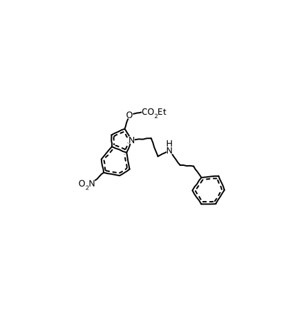 CCOC(=O)Oc1cc2cc([N+](=O)[O-])ccc2n1CCNCCc1ccccc1